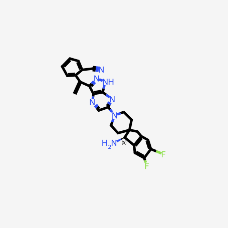 C=C(c1ccccc1C#N)c1n[nH]c2nc(N3CCC4(CC3)Cc3cc(F)c(F)cc3[C@H]4N)cnc12